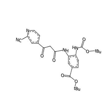 CC(C)(C)OC(=O)Nc1ccc(C(=O)OC(C)(C)C)cc1NC(=O)CC(=O)c1ccnc(C#N)c1